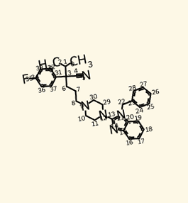 CC(C)C(C#N)(CCCN1CCN(c2nc3ccccc3n2Cc2ccccc2)CC1)c1ccc(F)cc1